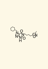 Cc1cc(CCCCn2c(=O)[nH]c3ncn(CC4CCCCC4)c3c2=O)on1